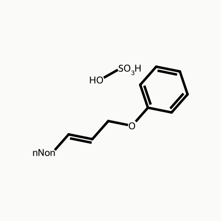 CCCCCCCCCC=CCOc1ccccc1.O=S(=O)(O)O